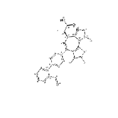 Cc1sc2c(c1C)C(c1ccc(-c3ccccc3C=O)cc1)=N[C@@H](C(C)C(=O)O)c1nnc(C)n1-2